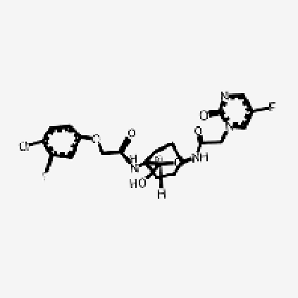 O=C(Cn1cc(F)cnc1=O)NC12CCC(NC(=O)COc3ccc(Cl)c(F)c3)(CC1)[C@@H](O)C2